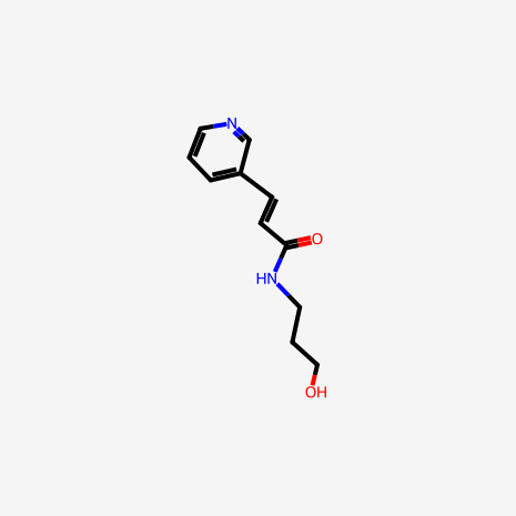 O=C(C=Cc1cccnc1)NCCCO